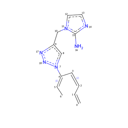 C=C/C=C\C(=C/C)n1cc(Cn2ccnc2N)nn1